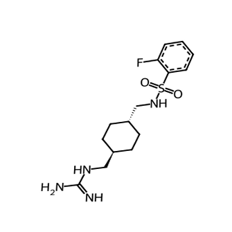 N=C(N)NC[C@H]1CC[C@H](CNS(=O)(=O)c2ccccc2F)CC1